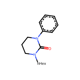 CCCCCCN1CCCN(c2ccccc2)C1=O